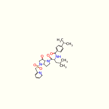 CC(C)CC(NC(=O)c1ccc(C(C)C)cc1)C(=O)N1CCC2C1C(=O)CN2S(=O)(=O)Cc1ccccn1